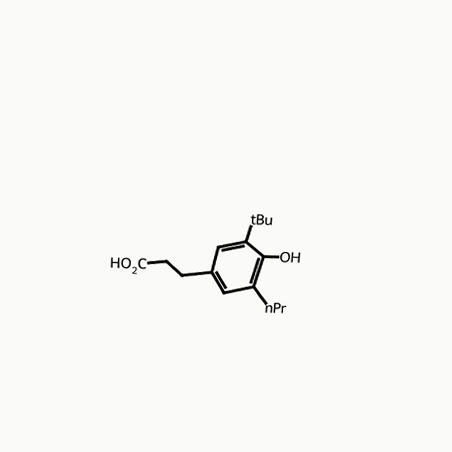 CCCc1cc(CCC(=O)O)cc(C(C)(C)C)c1O